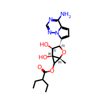 CCC(CC)C(=O)OC1[C@@]2(C)O[C@@H](c3ccc4c(N)ncnn34)[C@H](O)[C@@]12O